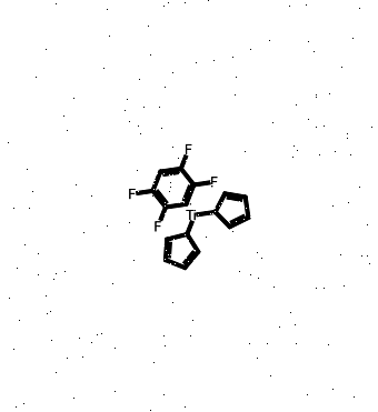 C1=C[CH]([Ti][CH]2C=CC=C2)C=C1.Fc1[c]c(F)c(F)cc1F